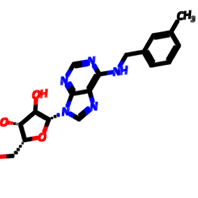 Cc1cccc(CNc2ncnc3c2ncn3[C@@H]2O[C@H](CO)[C@H](O)C2O)c1